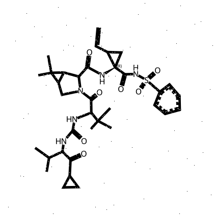 C=CC1C[C@]1(NC(=O)C1C2C(CN1C(=O)C(NC(=O)NC(C(=O)C1CC1)C(C)C)C(C)(C)C)C2(C)C)C(=O)NS(=O)(=O)c1ccccc1